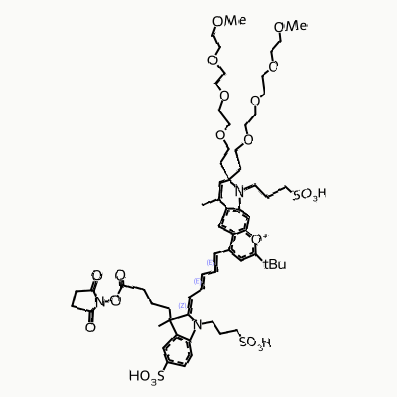 COCCOCCOCCOCCC1(CCOCCOCCOCCOC)C=C(C)c2cc3c(/C=C/C=C/C=C4\N(CCCS(=O)(=O)O)c5ccc(S(=O)(=O)O)cc5C4(C)CCCC(=O)ON4C(=O)CCC4=O)cc(C(C)(C)C)[o+]c3cc2N1CCCS(=O)(=O)O